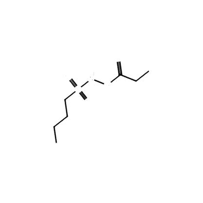 CCCCS(=O)(=O)NOC(=O)CC